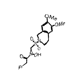 COc1cc2c(cc1OC)CN(S(=O)(=O)CN(O)C(=O)CC(C)C)CC2